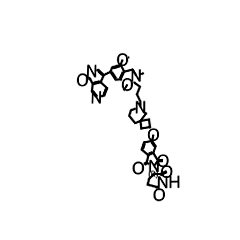 COc1cc(-c2cn(C)c(=O)c3cnccc23)cc(OC)c1CN(C)CCCCN1CCCC2(CC(Oc3ccc4c(c3)C(=O)N([C@@H]3CCC(=O)NC3=O)C4=O)C2)C1